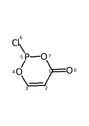 O=C1C=COP(Cl)O1